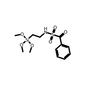 CO[Si](CCNS(=O)(=O)C(=O)c1ccccc1)(OC)OC